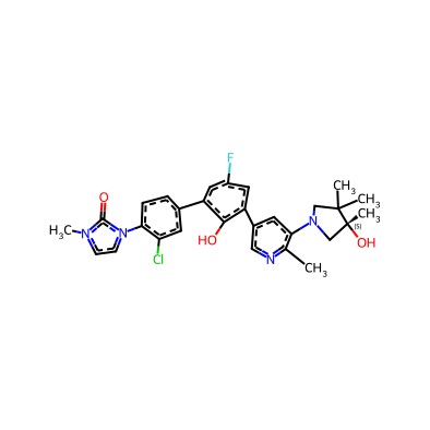 Cc1ncc(-c2cc(F)cc(-c3ccc(-n4ccn(C)c4=O)c(Cl)c3)c2O)cc1N1CC(C)(C)[C@](C)(O)C1